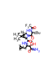 CC(C)(C)[C@H](NC(=O)C(F)(F)F)C(=O)N1C[C@H]2C([C@H]1C(=O)NC(CC1CC1)C(O)C(N)=O)C2(C)C